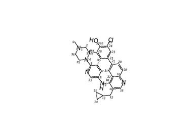 CN1CCN(c2ccc(Nc3c(CC4CC4)cnc4ccc(-c5cc(Cl)c(O)c(Cl)c5)cc34)cn2)CC1